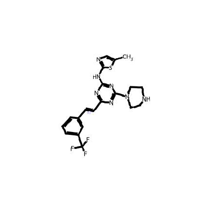 Cc1cnc(Nc2nc(/C=C/c3cccc(C(F)(F)F)c3)nc(N3CCNCC3)n2)s1